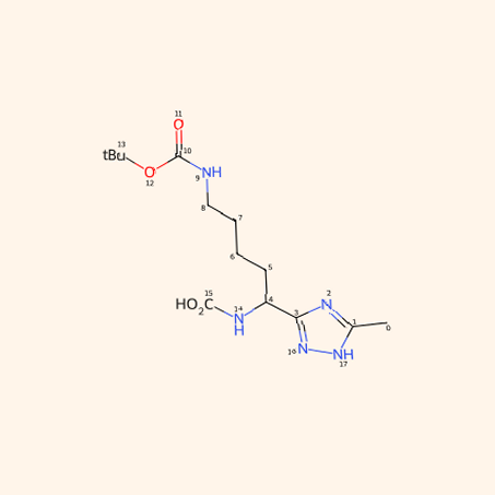 Cc1nc(C(CCCCNC(=O)OC(C)(C)C)NC(=O)O)n[nH]1